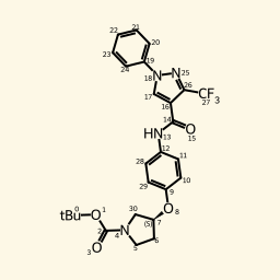 CC(C)(C)OC(=O)N1CC[C@H](Oc2ccc(NC(=O)c3cn(-c4ccccc4)nc3C(F)(F)F)cc2)C1